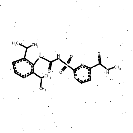 CNC(=O)c1ccnc(S(=O)(=O)NC(=O)Nc2c(C(C)C)cccc2C(C)C)n1